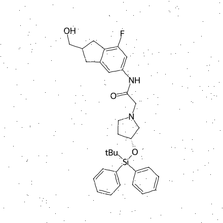 CC(C)(C)[Si](O[C@@H]1CCN(CC(=O)Nc2cc(F)c3c(c2)CC(CO)C3)C1)(c1ccccc1)c1ccccc1